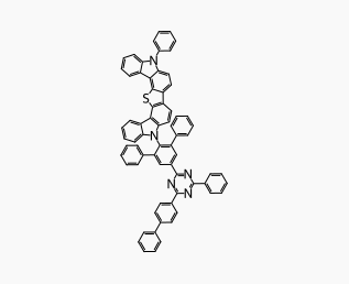 c1ccc(-c2ccc(-c3nc(-c4ccccc4)nc(-c4cc(-c5ccccc5)c(-n5c6ccccc6c6c7sc8c(ccc9c8c8ccccc8n9-c8ccccc8)c7ccc65)c(-c5ccccc5)c4)n3)cc2)cc1